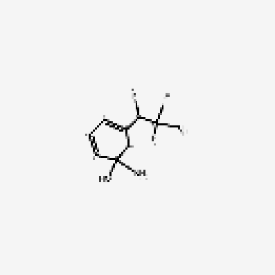 NC1(O)C=CC=C(C(F)C(F)(F)C(F)(F)F)C1